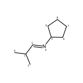 CC(C)C=NC1CCCC1